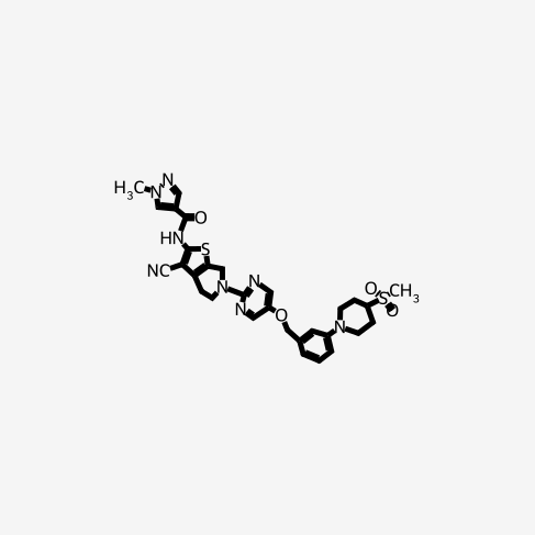 Cn1cc(C(=O)Nc2sc3c(c2C#N)CCN(c2ncc(OCc4cccc(N5CCC(S(C)(=O)=O)CC5)c4)cn2)C3)cn1